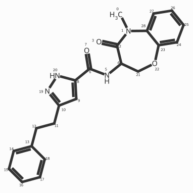 CN1C(=O)C(NC(=O)c2cc(CCc3ccccc3)n[nH]2)COc2ccccc21